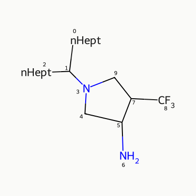 CCCCCCCC(CCCCCCC)N1CC(N)C(C(F)(F)F)C1